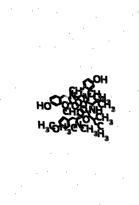 CC[C@H](C)[C@@H](OC(=O)[C@H](Cc1ccc(OC)cc1)N(C)C)C(=O)N[C@@H](C(=O)N(C)[C@@H](Cc1ccc(O)cc1)C(=O)N(C)[C@@H](Cc1ccc(O)cc1)C(=O)OC)C(C)C